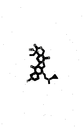 CC[C@@]1(O)C(=O)OCc2c1cc1n(c2=O)Cc2c-1c(=O)c1cc(F)ccc1n2CCN(C)C1CC1